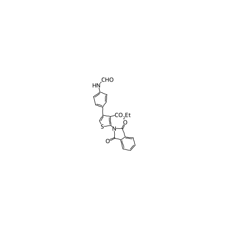 CCOC(=O)c1c(-c2ccc(NC=O)cc2)csc1N1C(=O)c2ccccc2C1=O